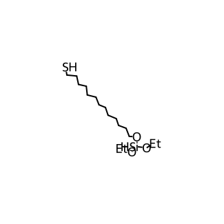 CCO[SiH](OCC)OCCCCCCCCCCCCCS